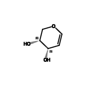 O[C@@H]1COC=C[C@@H]1O